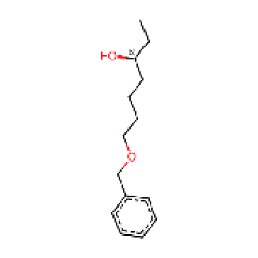 CC[C@H](O)CCCCOCc1ccccc1